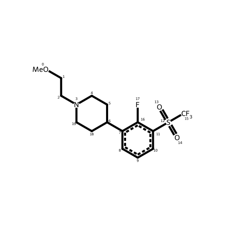 COCCN1CCC(c2cccc(S(=O)(=O)C(F)(F)F)c2F)CC1